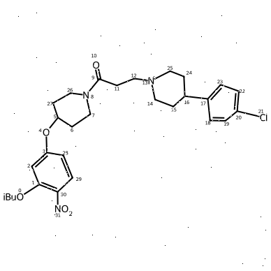 CC(C)COc1cc(OC2CCN(C(=O)CCN3CCC(c4ccc(Cl)cc4)CC3)CC2)ccc1[N+](=O)[O-]